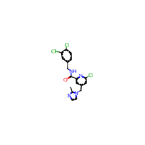 Cc1nccn1Cc1cc(Cl)nc(C(=O)NCc2ccc(Cl)c(Cl)c2)c1